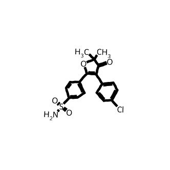 CC1(C)OC(c2ccc(S(N)(=O)=O)cc2)=C(c2ccc(Cl)cc2)C1=O